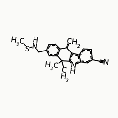 C=C1c2ccc(CNSC)cc2C(C)(C)c2[nH]c3cc(C#N)ccc3c21